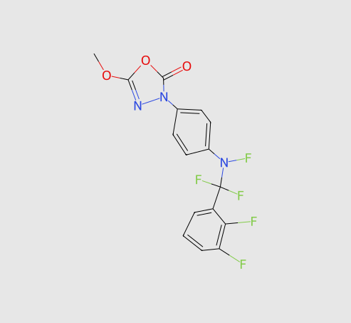 COc1nn(-c2ccc(N(F)C(F)(F)c3cccc(F)c3F)cc2)c(=O)o1